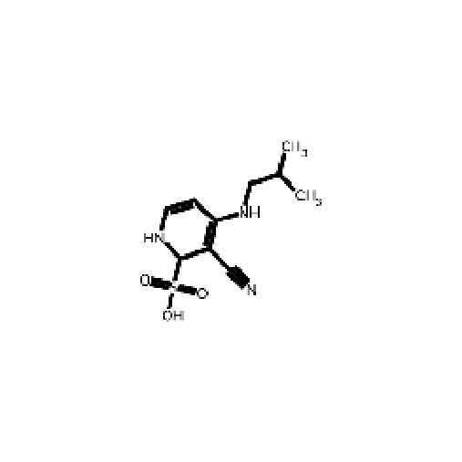 CC(C)CNC1=C(C#N)C(S(=O)(=O)O)NC=C1